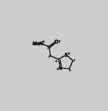 CNC(=O)CC1=NCCS1